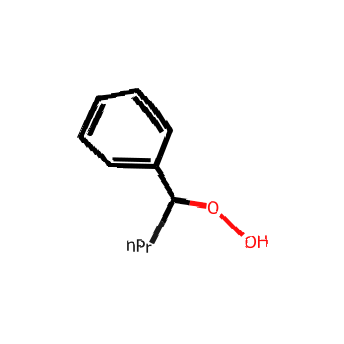 CCCC(OO)c1ccccc1